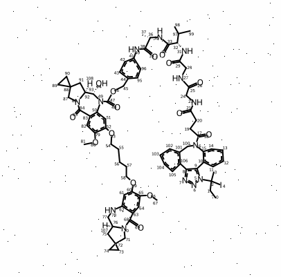 CCC(C)(I)n1nnc2c1-c1ccccc1N(C(=O)CCC(=O)NCC(=O)NCC(=O)N[C@H](C(=O)N[C@@H](C)C(=O)Nc1ccc(COC(=O)N3c4cc(OCCCCCOc5cc6c(cc5OC)C(=O)N5CC7(CC7)C[C@H]5CN6)c(OC)cc4C(=O)N4CC5(CC5)C[C@H]4[C@@H]3O)cc1)C(C)C)Cc1ccccc1-2